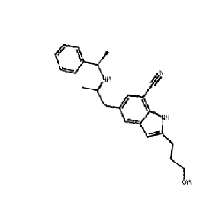 CC(Cc1cc(C#N)c2[nH]c(CCCO)cc2c1)N[C@H](C)c1ccccc1